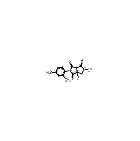 Cc1ccc(N2C(=O)C3C(=O)N(C)C[C@@H]3C2=O)c(C)c1